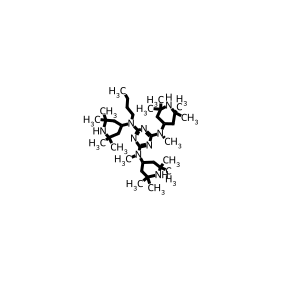 CCCCN(c1nc(N(C)C2CC(C)(C)NC(C)(C)C2)nc(N(C)C2CC(C)(C)NC(C)(C)C2)n1)C1CC(C)(C)NC(C)(C)C1